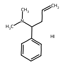 C=CCC(c1ccccc1)N(C)C.I